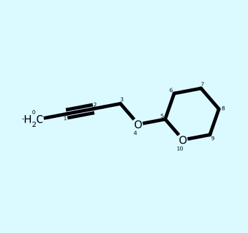 [CH2]C#CCOC1CCCCO1